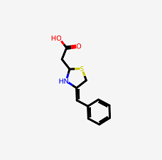 O=C(O)CC1NC(=Cc2ccccc2)CS1